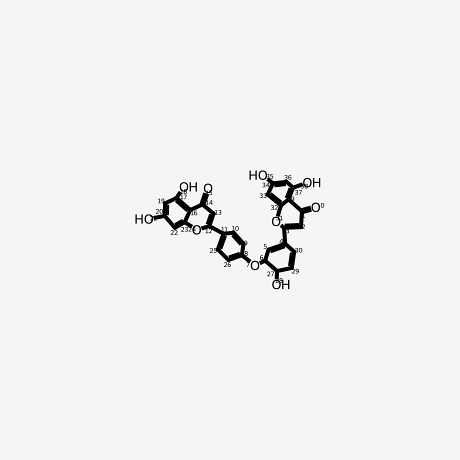 O=c1cc(C2=CC(Oc3ccc(-c4cc(=O)c5c(O)cc(O)cc5o4)cc3)C(O)C=C2)oc2cc(O)cc(O)c12